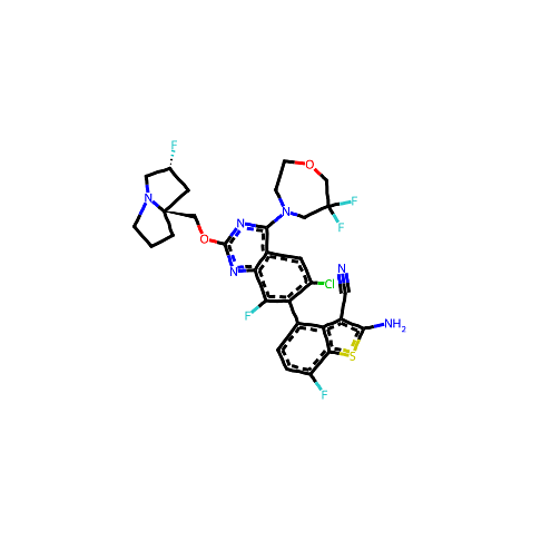 N#Cc1c(N)sc2c(F)ccc(-c3c(Cl)cc4c(N5CCOCC(F)(F)C5)nc(OC[C@@]56CCCN5C[C@H](F)C6)nc4c3F)c12